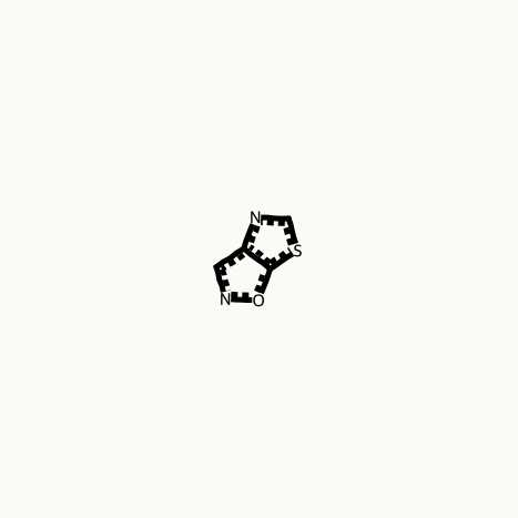 c1nc2cnoc2s1